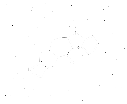 Cc1nccn1CC1CCSc2c(c3ccccc3n2C)C1=O